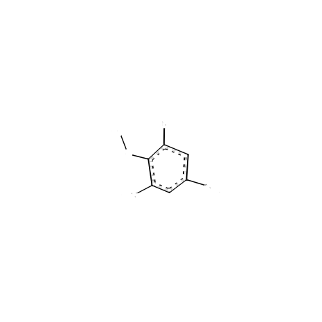 O=C(O)Oc1c([N+](=O)[O-])cc([N+](=O)[O-])cc1[N+](=O)[O-]